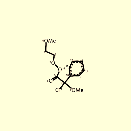 COCCOOC(=O)C(Cl)(OC)c1ccccc1